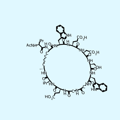 CC(=O)N[C@H](C(=O)N[C@H]1CSSC[C@@H](C)NC(=O)[C@H](C(C)C)NC(=O)[C@H](CCC(=O)O)NC(=O)CNC(=O)CNC(=O)[C@H](Cc2c[nH]c3ccccc23)NC(=O)[C@H](CO)NC(=O)[C@H](CC(=O)O)NC(=O)[C@H](CCC(=O)O)NC(=O)[C@H](Cc2c[nH]c3ccccc23)NC1=O)C(C)C